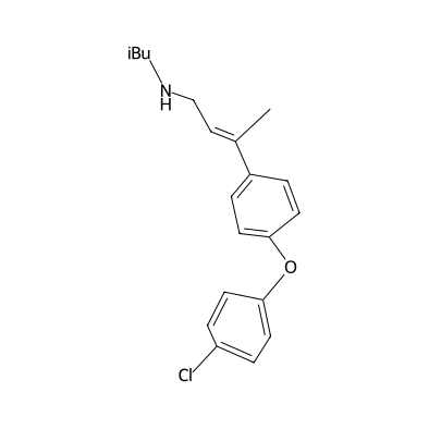 CCC(C)NCC=C(C)c1ccc(Oc2ccc(Cl)cc2)cc1